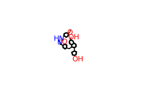 COc1ccc(NC(=O)N(C)Cc2ccc(Cc3c(-c4ccc(O)cc4)ccc4cc(O)ccc34)cc2)cc1